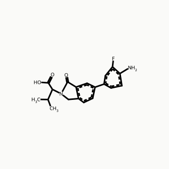 CC(C)C(C(=O)O)N1Cc2ccc(-c3ccc(N)c(F)c3)cc2C1=O